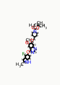 COc1cc2c(Oc3ccc4[nH]c(C)cc4c3F)ncnc2cc1OCC1CCN(C(=O)OC(C)(C)C)CC1